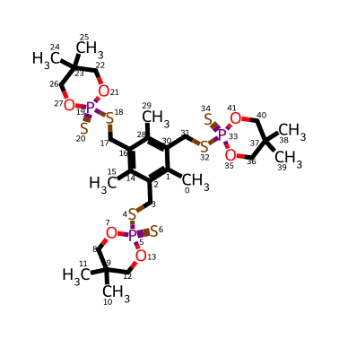 Cc1c(CSP2(=S)OCC(C)(C)CO2)c(C)c(CSP2(=S)OCC(C)(C)CO2)c(C)c1CSP1(=S)OCC(C)(C)CO1